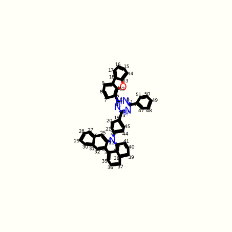 N=C(/N=C(\N=C\c1cccc2c1oc1ccccc12)c1ccc(N2c3cc4ccccc4cc3-c3cccc4cccc2c34)cc1)c1ccccc1